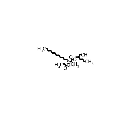 CCC(=O)O.CCCCCCCCCCCCSC(C)C(=O)OCC(CC)CCCC